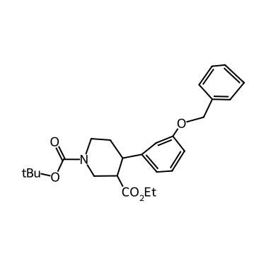 CCOC(=O)C1CN(C(=O)OC(C)(C)C)CCC1c1cccc(OCc2ccccc2)c1